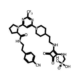 N#Cc1ccc(CCNC(=O)C2CCCN2c2cc(N3CCC(CCNc4c(NCP(=O)(O)O)c(=O)c4=O)CC3)nc(C(F)(F)F)n2)cc1